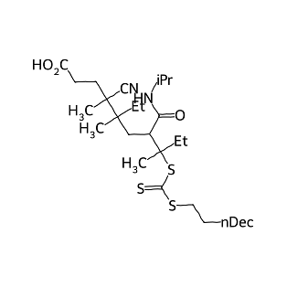 CCCCCCCCCCCCSC(=S)SC(C)(CC)C(CC(C)(CC)C(C)(C#N)CCC(=O)O)C(=O)NC(C)C